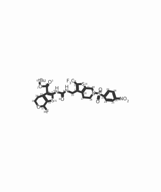 CC(C)(C)OC(=O)c1c(NC(=O)NCc2c(C(F)(F)F)sc3c2CCN(S(=O)(=O)c2ccc([N+](=O)[O-])cc2)C3)sc2c1CCOC2F